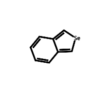 c1ccc2c[se]cc2c1